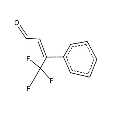 O=[C]C=C(c1ccccc1)C(F)(F)F